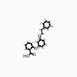 O=C(O)c1ccccc1Oc1cccc(OCCc2ccccc2)c1